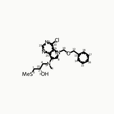 CSC[C@@H](O)CN(C)c1cn(COCc2ccccc2)c2c(Cl)ncnc12